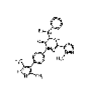 CC[C@@H](c1ccccc1)C(NC(=O)c1ccnn1C)C(=O)Nc1ccc(-c2c(C)n[nH]c2C)cc1